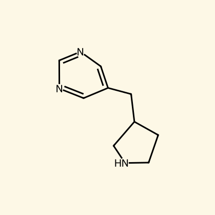 c1ncc(CC2CCNC2)cn1